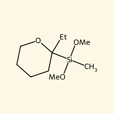 CCC1([Si](C)(OC)OC)CCCCO1